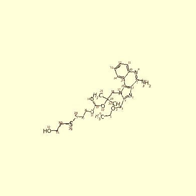 CCOCc1nc2c(N)nc3ccccc3c2n1CC(C)(C)OC(=O)OCCSSCCO